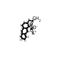 C=CCc1ccc2cc3ccccc3cc2c1S(=O)(=O)[O-].[K+]